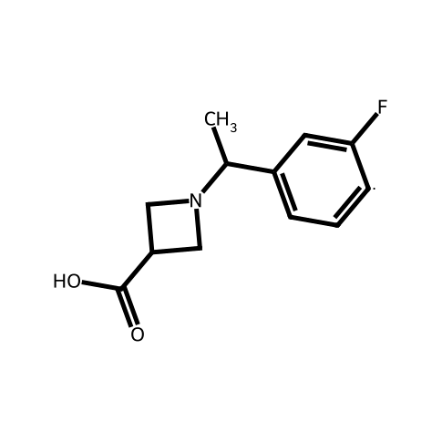 CC(c1cc[c]c(F)c1)N1CC(C(=O)O)C1